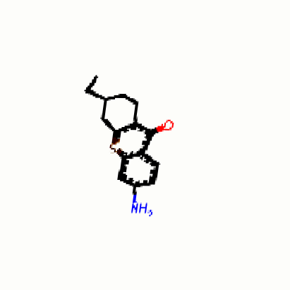 CCC1CCc2c(sc3cc(N)ccc3c2=O)C1